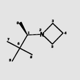 C[C@@H](N1CCC1)C(C)(C)C